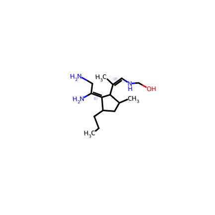 CCCC1CC(C)C(/C(C)=C\NCO)/C1=C(/N)CN